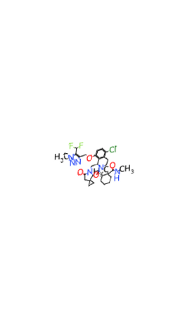 CNC(=O)[C@]1(C)CCCC[C@@H]1C(=O)N1CCc2c(Cl)ccc(OCc3nnn(C)c3C(F)F)c2[C@@H]1CN1CC2(CC2)CC1=O